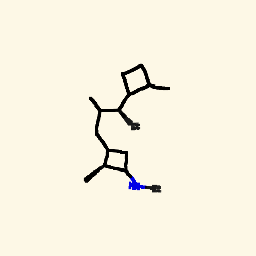 CCNC1CC(CC(C)[C@H](CC)C2CCC2C)[C@@H]1C